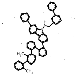 Cc1ccccc1-c1cccc(-c2ccccc2-c2ccccc2-c2ccc3c(c2)c2ccc(-c4ccccc4)cc2n3NCc2cccc(-c3ccccc3)c2)c1C